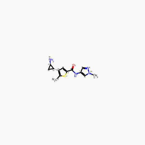 Cc1sc(C(=O)Nc2cnn(C)c2)cc1[C@@H]1C[C@H]1N